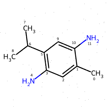 Cc1cc(N)c(C(C)C)cc1N